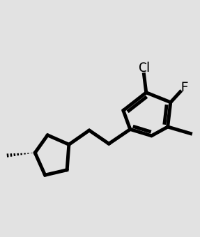 Cc1cc(CCC2CC[C@H](C)C2)cc(Cl)c1F